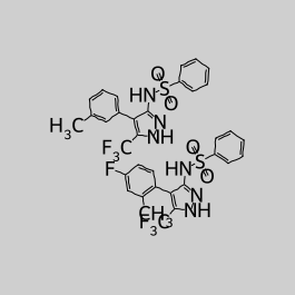 Cc1cc(F)ccc1-c1c(NS(=O)(=O)c2ccccc2)n[nH]c1C(F)(F)F.Cc1cccc(-c2c(NS(=O)(=O)c3ccccc3)n[nH]c2C(F)(F)F)c1